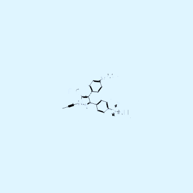 CC#Cn1nc(-c2ccc(S(N)(=O)=O)cc2)c(-c2ccc(OC)cc2)c1C(F)(F)F